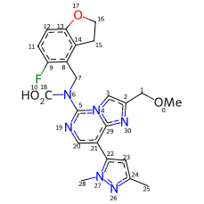 COCc1cn2c(N(Cc3c(F)ccc4c3CCO4)C(=O)O)ncc(-c3cc(C)nn3C)c2n1